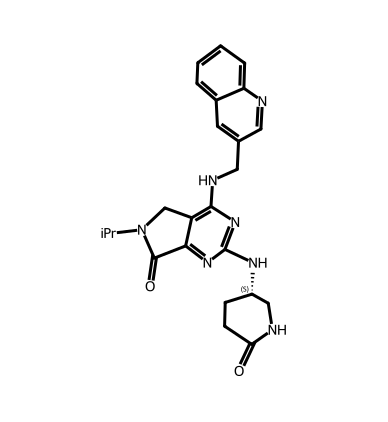 CC(C)N1Cc2c(NCc3cnc4ccccc4c3)nc(N[C@H]3CCC(=O)NC3)nc2C1=O